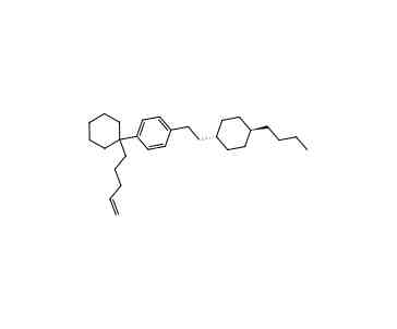 C=CCCCC1(c2ccc(CC[C@H]3CC[C@H](CCCC)CC3)cc2)CCCCC1